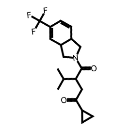 CC(C)C(CC(=O)C1CC1)C(=O)N1CC2C=CC(C(F)(F)F)=CC2C1